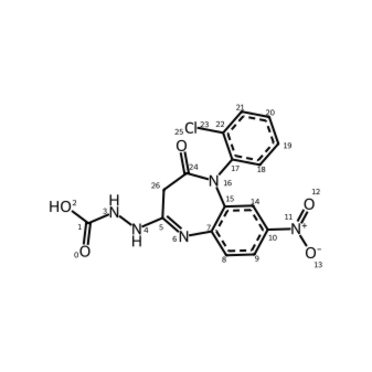 O=C(O)NNC1=Nc2ccc([N+](=O)[O-])cc2N(c2ccccc2Cl)C(=O)C1